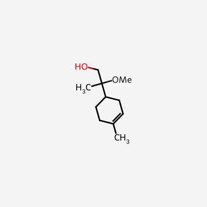 COC(C)(CO)C1CC=C(C)CC1